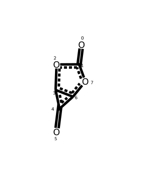 O=c1oc2c(=O)c2o1